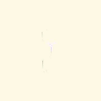 CCCCCN(C)C[C]=O